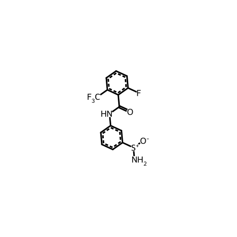 N[S+]([O-])c1cccc(NC(=O)c2c(F)cccc2C(F)(F)F)c1